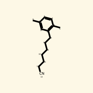 Cc1ccc(C)c(CCCCCCC#N)c1